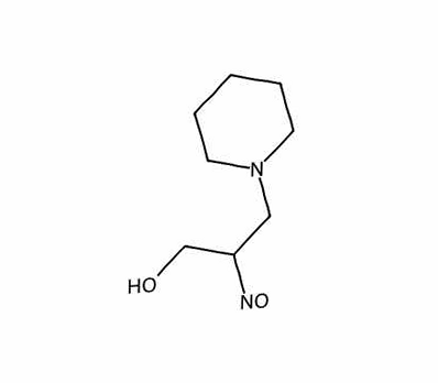 O=NC(CO)CN1CCCCC1